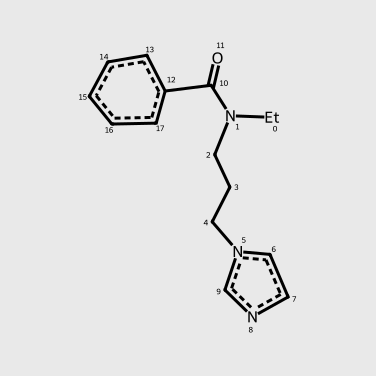 CCN(CCCn1ccnc1)C(=O)c1ccccc1